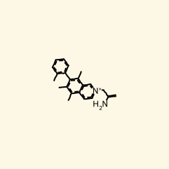 C=C(N)C[n+]1ccc2c(C)c(C)c(-c3ccccc3C)c(C)c2c1